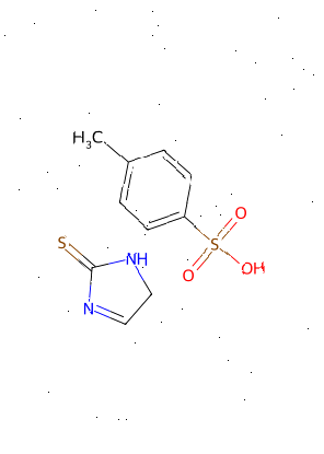 Cc1ccc(S(=O)(=O)O)cc1.S=C1N=CCN1